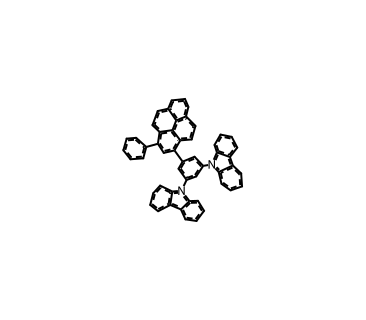 c1ccc(-c2cc(-c3cc(-n4c5ccccc5c5ccccc54)cc(-n4c5ccccc5c5ccccc54)c3)c3ccc4cccc5ccc2c3c54)cc1